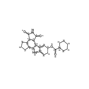 O=C1NC(=O)c2c1c1c(c3[nH]c4c(c23)=CC(OC(=O)N2CCCCC2)CC=4)CCC1